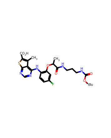 Cc1c(C(=O)O)sc2ncnc(Nc3ccc(F)cc3OC(C)C(=O)NCCCNC(=O)OC(C)(C)C)c12